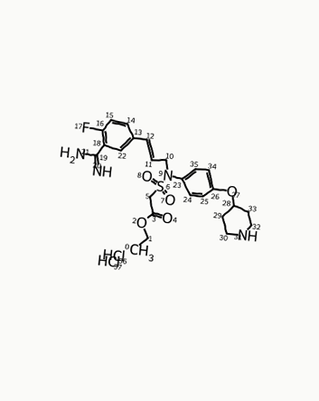 CCOC(=O)CS(=O)(=O)N(C/C=C/c1ccc(F)c(C(=N)N)c1)c1ccc(OC2CCNCC2)cc1.Cl.Cl